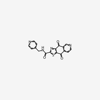 O=C(NCc1ccncc1)c1nc2c(s1)C(=O)c1ccncc1C2=O